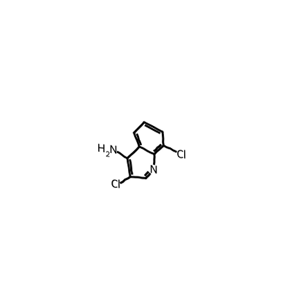 Nc1c(Cl)cnc2c(Cl)cccc12